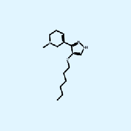 CCCCCCOc1c[nH]nc1C1=CCCN(C)C1